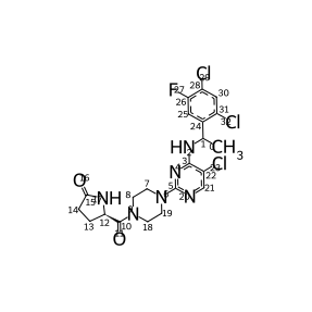 CC(Nc1nc(N2CCN(C(=O)[C@H]3CCC(=O)N3)CC2)ncc1Cl)c1cc(F)c(Cl)cc1Cl